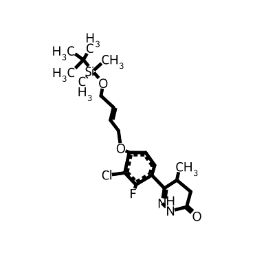 CC1CC(=O)NN=C1c1ccc(OCC=CCO[Si](C)(C)C(C)(C)C)c(Cl)c1F